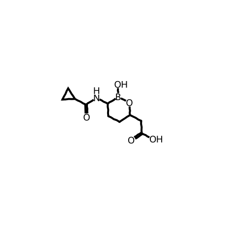 O=C(O)CC1CCC(NC(=O)C2CC2)B(O)O1